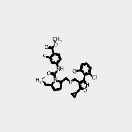 CCC1CCC(COCc2c(-c3c(Cl)cccc3Cl)noc2C2CC2)N1C(=O)Nc1ccc(C(=O)OC)c(F)c1